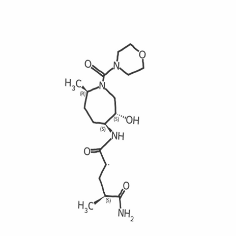 C[C@@H]1CC[C@H](NC(=O)[CH]C[C@H](C)C(N)=O)[C@@H](O)CN1C(=O)N1CCOCC1